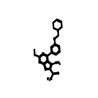 CSc1nc(-c2cccc(OCN3CC=CCC3)c2)c2c(N)c(C(N)=O)sc2n1